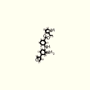 CC(OC(=O)c1cccc(Nc2ccc(-c3ccoc3)cc2N)c1)c1ccc[nH]1